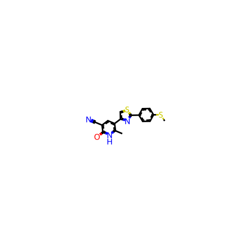 CSc1ccc(-c2nc(-c3cc(C#N)c(=O)[nH]c3C)cs2)cc1